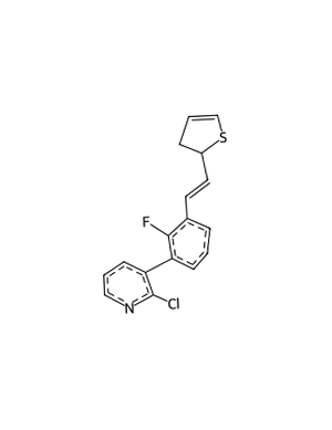 Fc1c(C=CC2CC=CS2)cccc1-c1cccnc1Cl